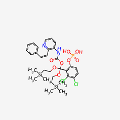 C[Si](C)(C)CCOC(OCC[Si](C)(C)C)(OC(=O)Nc1cccnc1C=Cc1ccccc1)c1c(OP(=O)(O)O)ccc(Cl)c1Cl